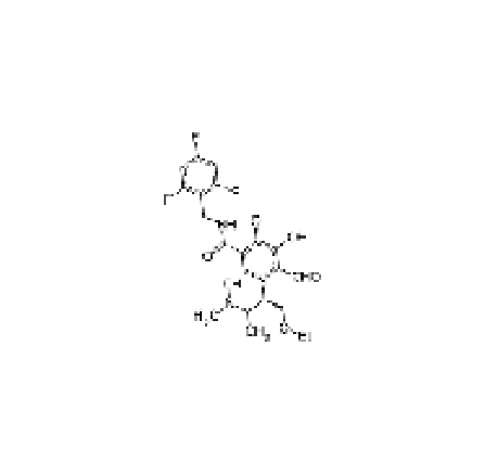 CCOC[C@@H](C(C)N(C)C)n1cc(C(=O)NCc2c(F)cc(F)cc2F)c(=O)c(O)c1C=O